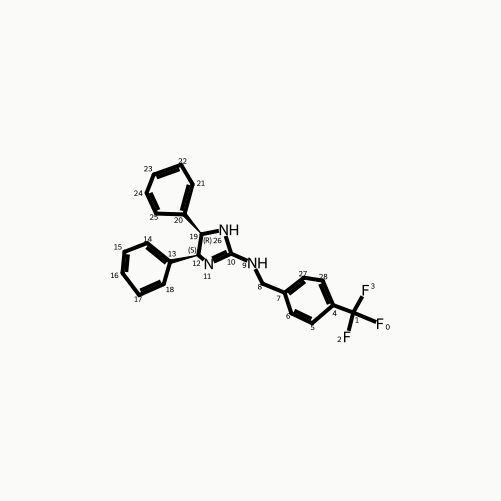 FC(F)(F)c1ccc(CNC2=N[C@@H](c3ccccc3)[C@@H](c3ccccc3)N2)cc1